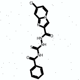 O=C(NC(=S)NNC(=O)c1cn2ccc(Cl)cc2n1)c1ccccc1